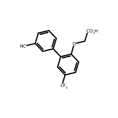 N#Cc1cccc(-c2cc(C(F)(F)F)ccc2OCC(=O)O)c1